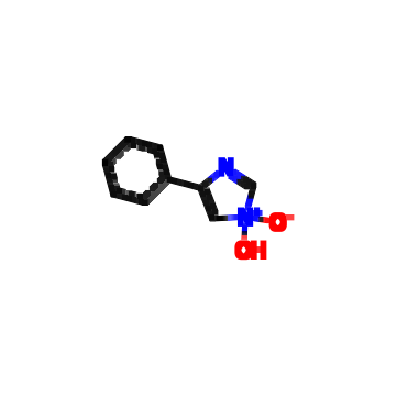 [O-][N+]1(O)C=NC(c2ccccc2)=C1